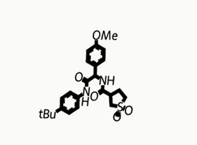 COc1ccc(C(NC(=O)C2CCS(=O)(=O)C2)C(=O)Nc2ccc(C(C)(C)C)cc2)cc1